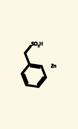 O=S(=O)(O)Cc1ccccc1.[Zn]